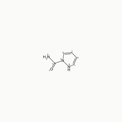 NC(=O)N1C=CC=CN1